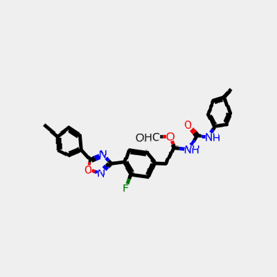 Cc1ccc(NC(=O)NC(Cc2ccc(-c3noc(-c4ccc(C)cc4)n3)c(F)c2)OC=O)cc1